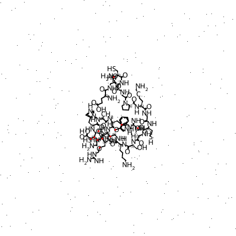 C[C@H](NC(=O)[C@H](Cc1c[nH]cn1)NC(=O)[C@H](CC(=O)O)NC(=O)[C@H](CCCNC(=N)N)NC(=O)[C@H](Cc1c[nH]c2ccccc12)NC(=O)[C@H](CCCCN)NC(=O)[C@H](CO)NC(=O)[C@H](CO)NC(=O)[C@H](CS)NC(=O)CNC(=O)[C@H](CCCCN)NC(=O)[C@@H]1CCCN1C(=O)CNC(=O)[C@H](CC(N)=O)NC(=O)[C@H](CS)NC(=O)CNC(=O)[C@@H](N)CCC(=O)O)C(=O)N[C@@H](CCCNC(=N)N)C(=O)N[C@@H](CS)C(=O)N[C@@H](CS)C(N)=O